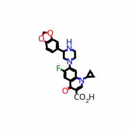 O=C(O)c1cn(C2CC2)c2cc(N3CCNC(c4ccc5c(c4)OCO5)C3)c(F)cc2c1=O